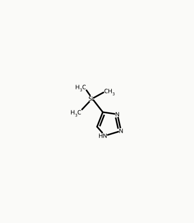 C[Si](C)(C)c1c[nH]nn1